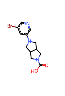 O=C(O)N1CC2CN(c3cncc(Br)c3)CC2C1